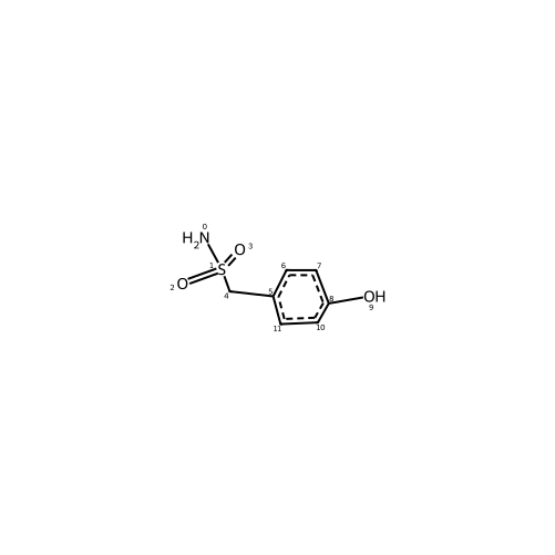 NS(=O)(=O)Cc1ccc(O)cc1